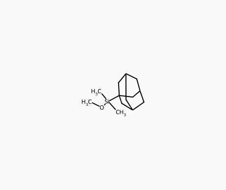 CO[Si](C)(C)C12CC3CC(CC(C3)C1)C2